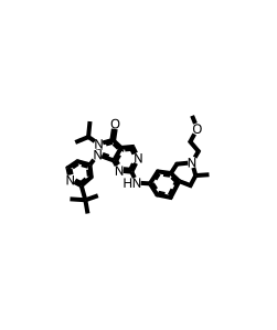 COCCN1Cc2cc(Nc3ncc4c(=O)n(C(C)C)n(-c5ccnc(C(C)(C)C)c5)c4n3)ccc2CC1C